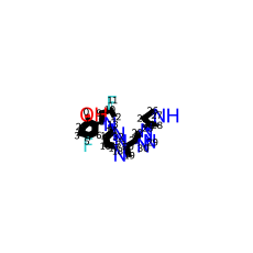 Oc1ccc(F)cc1[C@H]1C[C@H](F)CN1c1ccc2ncc(-c3cn(C4CCNC4)nn3)n2n1